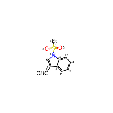 CCS(=O)(=O)n1cc(C=O)c2ccccc21